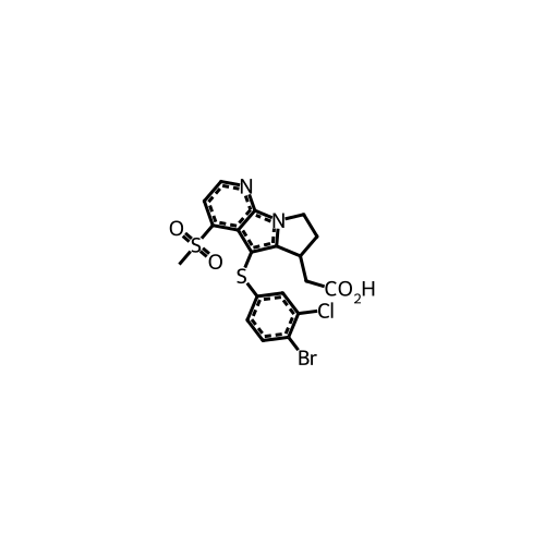 CS(=O)(=O)c1ccnc2c1c(Sc1ccc(Br)c(Cl)c1)c1n2CCC1CC(=O)O